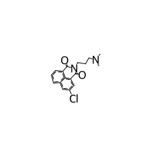 CN(C)CCCN1C(=O)c2cccc3cc(Cl)cc(c23)C1=O